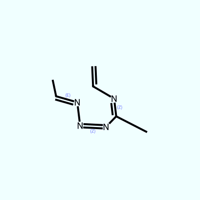 C=C\N=C(C)/N=N\N=C\C